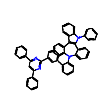 c1ccc(-c2cc(-c3ccccc3)nc(-c3cccc(-c4ccccc4N4c5ccccc5-c5c(n(-c6ccccc6)c6ccccc56)-c5ccccc54)c3)n2)cc1